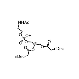 CCCCCCCCCCCC(=O)OC[C@H](COP(=O)(O)OCCNC(C)=O)OC(=O)CCCCCCCCCCC